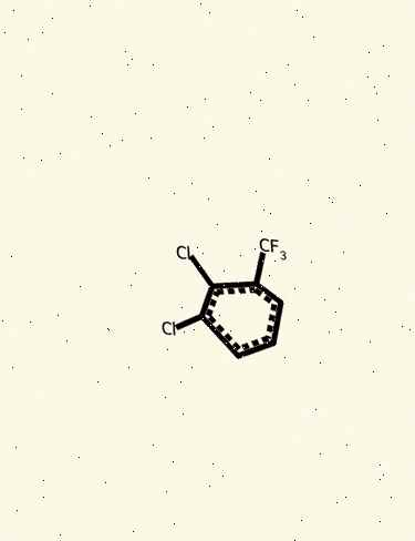 FC(F)(F)c1cccc(Cl)c1Cl